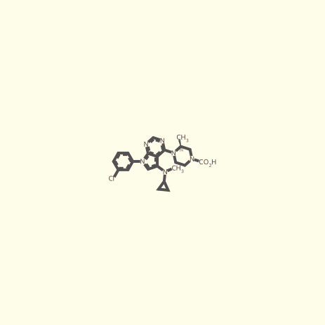 C[C@H]1CN(C(=O)O)CCN1c1ncnc2c1c(N(C)C1CC1)cn2-c1cccc(Cl)c1